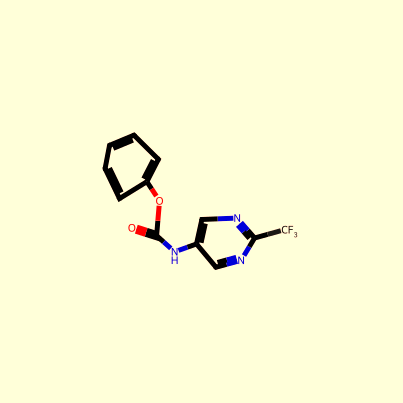 O=C(Nc1cnc(C(F)(F)F)nc1)Oc1ccccc1